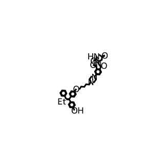 CCC(=C(c1ccc(O)cc1)c1ccc(OCCCCCN2CCN(c3ccc4c(c3)C(=O)N(C3CC(=O)CNC3=O)C4=O)CC2)cc1)c1ccccc1